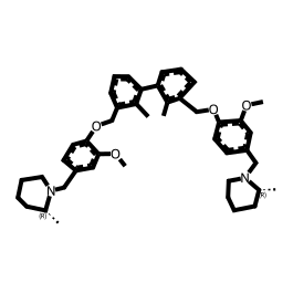 COc1cc(CN2CCCC[C@H]2C)ccc1OCc1cccc(-c2cccc(COc3ccc(CN4CCCC[C@H]4C)cc3OC)c2C)c1C